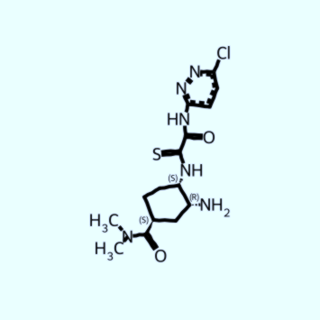 CN(C)C(=O)[C@H]1CC[C@H](NC(=S)C(=O)Nc2ccc(Cl)nn2)[C@H](N)C1